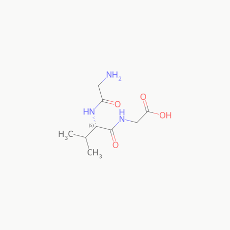 CC(C)[C@H](NC(=O)CN)C(=O)NCC(=O)O